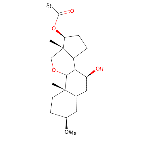 CCC(=O)O[C@H]1CCC2C3C(OC[C@@]21C)[C@@]1(C)CC[C@H](OC)CC1C[C@@H]3O